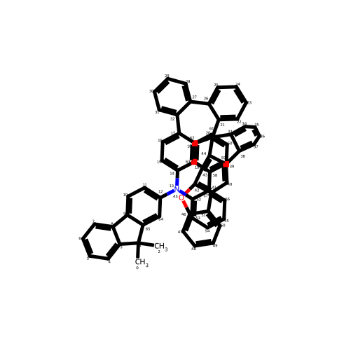 CC1(C)c2ccccc2-c2ccc(N(c3ccc4c(c3)C3(c5ccccc5-c5ccccc5-4)c4ccccc4-c4cc5c(cc43)oc3ccccc35)c3ccccc3-c3ccccc3)cc21